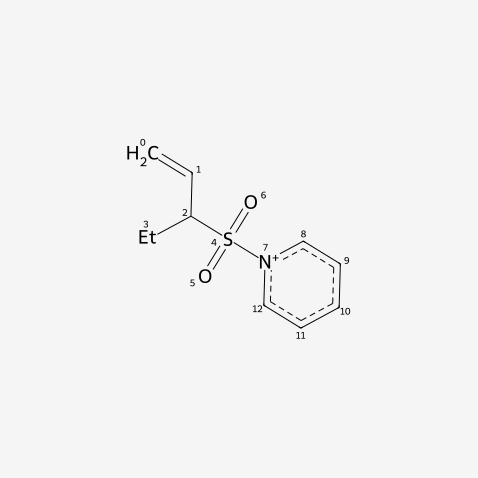 C=CC(CC)S(=O)(=O)[n+]1ccccc1